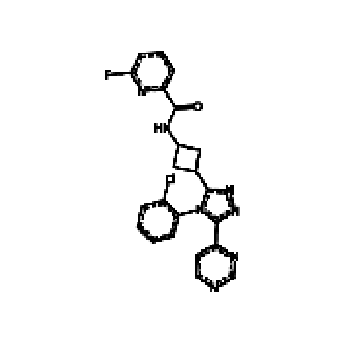 O=C(NC1CC(c2nnc(-c3ccncn3)n2-c2ccccc2Cl)C1)c1cccc(F)n1